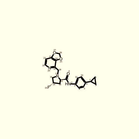 O=C(Nc1ccc(C2CC2)cc1)[C@H]1C[C@H](F)CN1Cc1nccc2c1OCO2